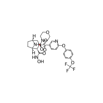 O=C(NO)[C@H]1[C@@H]2CC[C@H](CN1S(=O)(=O)c1ccc(Oc3ccc(OC(F)(F)F)cc3)nc1)N2C(=O)N1CCOCC1